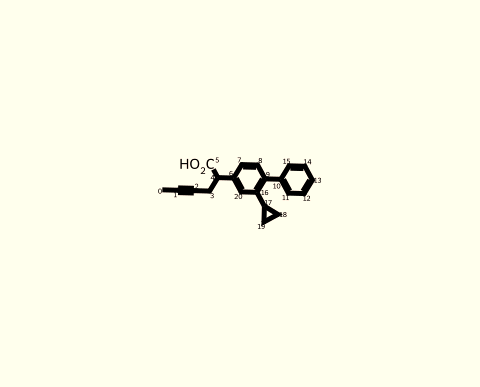 CC#CCC(C(=O)O)c1ccc(-c2ccccc2)c(C2CC2)c1